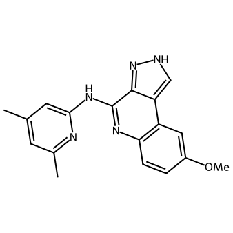 COc1ccc2nc(Nc3cc(C)cc(C)n3)c3n[nH]cc3c2c1